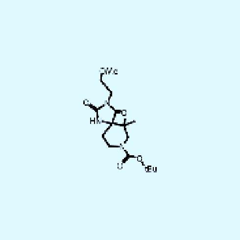 COCCN1C(=O)NC2(CCN(C(=O)OC(C)(C)C)CC2(C)C)C1=O